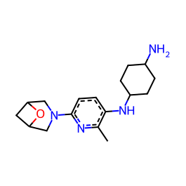 Cc1nc(N2CC3CC(C2)O3)ccc1NC1CCC(N)CC1